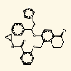 O=C(NC1CC1)c1ccccc1SCc1c(OC(Cn2ccnc2)c2ccccc2)ccc2c1CCCC2=O